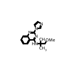 COCC(C)(C)Nc1nc(-n2ccnc2)nc2ccccc12